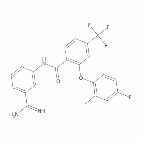 Cc1cc(F)ccc1Oc1cc(C(F)(F)F)ccc1C(=O)Nc1cccc(C(=N)N)c1